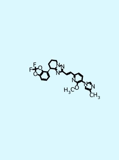 COc1nc(/C=C/c2nc3n(n2)CCC[C@@H]3c2cccc3c2OC(F)(F)O3)ccc1-n1cnc(C)c1